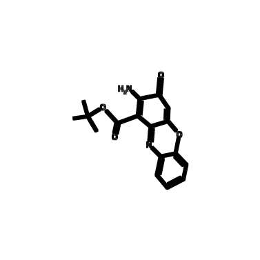 CC(C)(C)OC(=O)c1c2nc3ccccc3oc-2cc(=O)c1N